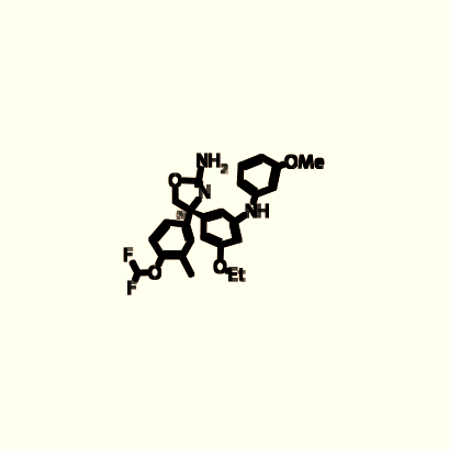 CCOc1cc(Nc2cccc(OC)c2)cc([C@@]2(c3ccc(OC(F)F)c(C)c3)COC(N)=N2)c1